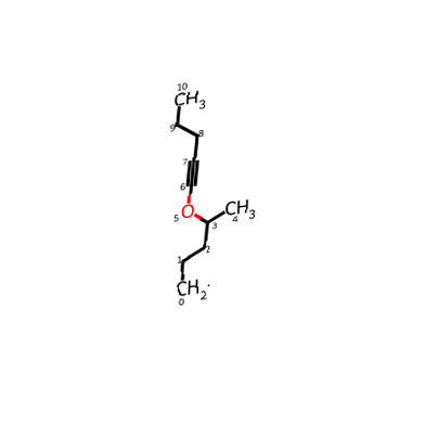 [CH2]CCC(C)OC#CCCC